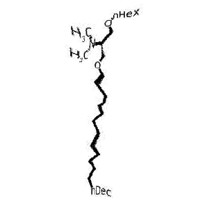 CCCCCCCCCCCCCCCCCCCCC=COC[C@H](COCCCCCC)N(C)C